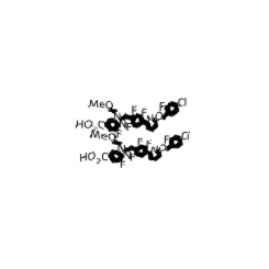 COCCn1c(Cc2c(F)cc(-c3cccc(OCc4ccc(Cl)cc4F)n3)c(F)c2F)nc2c(F)cc(C(=O)O)cc21.COCCn1c(Cc2c(F)cc(-c3cccc(OCc4ccc(Cl)cc4F)n3)c(F)c2F)nc2c(F)cc(C(=O)O)cc21